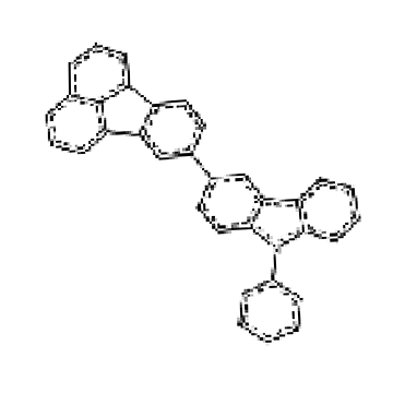 c1ccc(-n2c3ccccc3c3cc(-c4ccc5c(c4)-c4cccc6cccc-5c46)ccc32)cc1